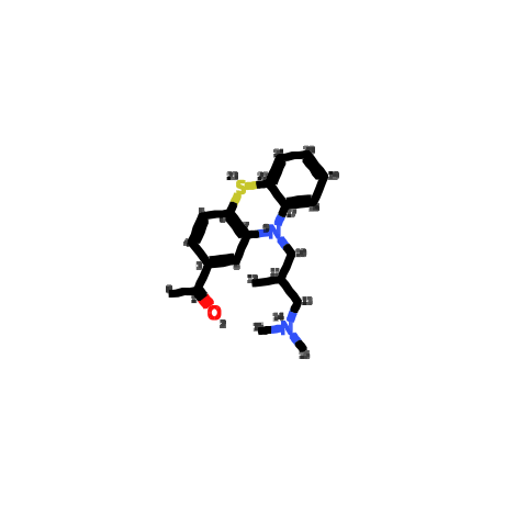 CC(=O)c1ccc2c(c1)N(CC(C)CN(C)C)c1ccccc1S2